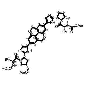 COC[C@H]1C[C@@H](c2ncc(-c3cc4c5c(c3)OCc3cc(-c6cnc([C@@H]7CC[C@H](C)N7C(=O)[C@@H](NC(=O)OC)C(C)C)[nH]6)cc(c3-5)OC4)[nH]2)N(C(=O)[C@@H](NC(=O)O)C(C)C)C1